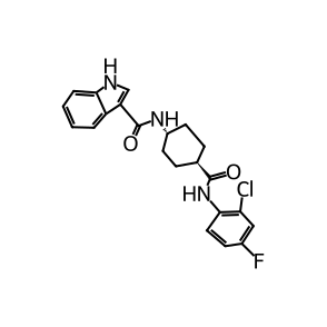 O=C(N[C@H]1CC[C@H](C(=O)Nc2ccc(F)cc2Cl)CC1)c1c[nH]c2ccccc12